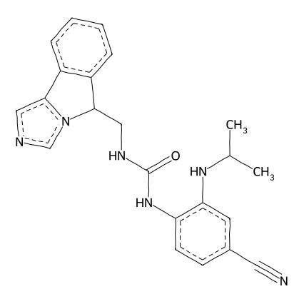 CC(C)Nc1cc(C#N)ccc1NC(=O)NCC1c2ccccc2-c2cncn21